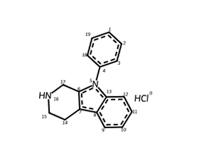 Cl.c1ccc(-n2c3c(c4ccccc42)CCNC3)cc1